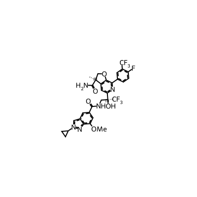 COc1cc(C(=O)NC[C@](O)(c2cc3c(c(-c4ccc(F)c(C(F)(F)F)c4)n2)OC[C@]3(C)C(N)=O)C(F)(F)F)cc2cn(C3CC3)nc12